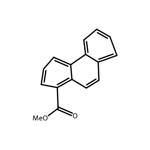 COC(=O)c1cccc2c1ccc1ccccc12